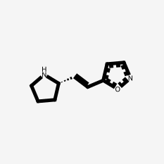 C(=C\[C@@H]1CCCN1)/c1ccno1